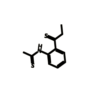 CCC(=S)c1ccccc1NC(C)=S